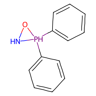 c1ccc([PH]2(c3ccccc3)NO2)cc1